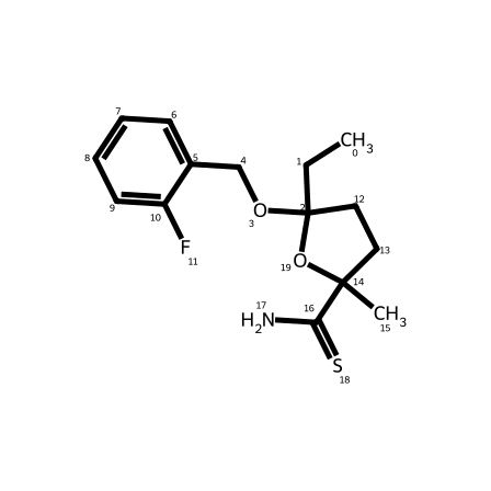 CCC1(OCc2ccccc2F)CCC(C)(C(N)=S)O1